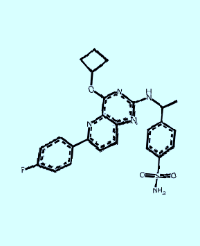 CC(Nc1nc(OC2CCC2)c2nc(-c3ccc(F)cc3)ccc2n1)c1ccc(S(N)(=O)=O)cc1